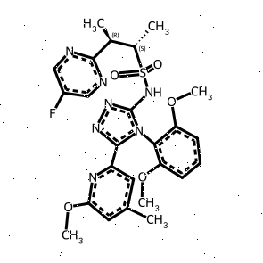 COc1cc(C)cc(-c2nnc(NS(=O)(=O)[C@@H](C)[C@H](C)c3ncc(F)cn3)n2-c2c(OC)cccc2OC)n1